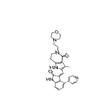 Cc1c(/C=C2\C(=O)Nc3cccc(-c4ccncc4)c32)[nH]c2c1C(=O)N(CCN1CCOCC1)CC2